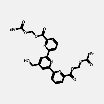 CCCC(=O)OCOC(=O)c1cccc(-c2cc(CO)cc(-c3cccc(C(=O)OCOC(=O)CCC)n3)n2)n1